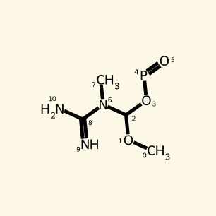 COC(OP=O)N(C)C(=N)N